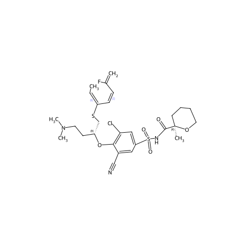 C=C(F)/C=C\C(=C/C)SC[C@@H](CCN(C)C)Oc1c(Cl)cc(S(=O)(=O)NC(=O)[C@@]2(C)CCCCO2)cc1C#N